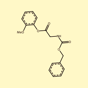 COc1ccccc1OC(=O)CNC(=O)OCc1ccccc1